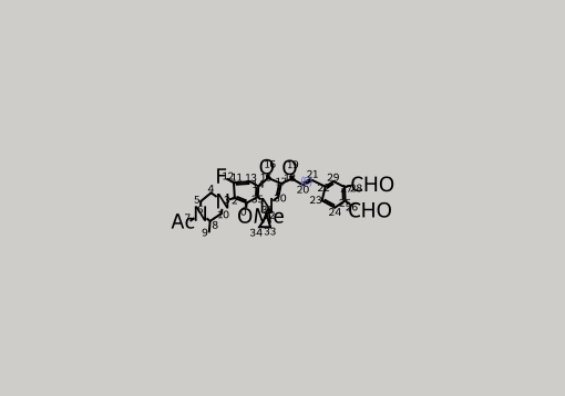 COc1c(N2CCN(C(C)=O)C(C)C2)c(F)cc2c(=O)c(C(=O)/C=C/c3ccc(C=O)c(C=O)c3)cn(C3CC3)c12